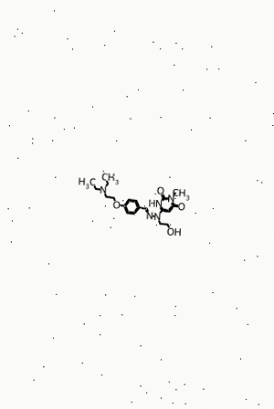 CCN(CC)CCOc1ccc(C=NN(CCO)c2cc(=O)n(C)c(=O)[nH]2)cc1